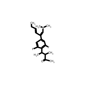 CC/C=C/C(=C\N(C)C)c1cc(F)c(C(C)C(C)C(C)=O)c(F)c1